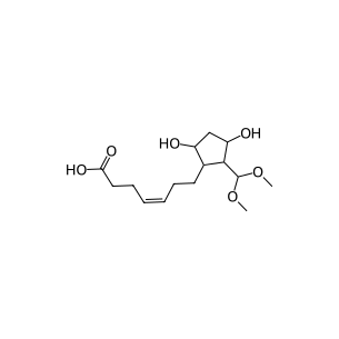 COC(OC)C1C(O)CC(O)C1CC/C=C\CCC(=O)O